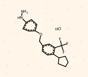 Cl.NNc1ccc(OCc2ccc(C3CCCC3)c(C(F)(F)F)c2)cc1